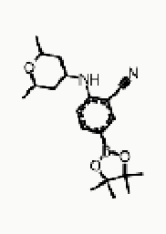 CC1CC(Nc2ccc(B3OC(C)(C)C(C)(C)O3)cc2C#N)CC(C)O1